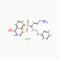 Cl.NCC=CN(CCCc1ccccc1)S(=O)(=O)c1cccc2c(O)nccc12